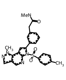 CNC(=O)Cc1cccc(-c2cc3c4c(cnc3n2S(=O)(=O)c2ccc(C)cc2)cnn4C)c1